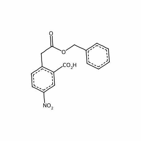 O=C(Cc1ccc([N+](=O)[O-])cc1C(=O)O)OCc1ccccc1